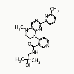 Cc1cccc(-c2ncc3c(n2)N(c2ccncc2C(=O)NCC(C)(C)O)CCN3C)n1